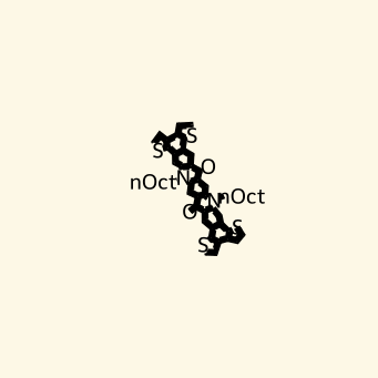 CCCCCCCCn1c2cc3c(=O)c4cc5c(cc4n(CCCCCCCC)c3cc2c(=O)c2cc3c(cc21)c1sccc1c1ccsc13)c1sccc1c1ccsc15